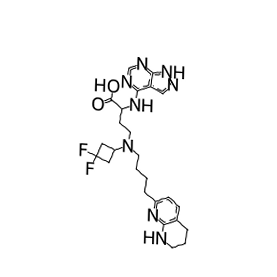 O=C(O)C(CCN(CCCCc1ccc2c(n1)NCCC2)C1CC(F)(F)C1)Nc1ncnc2[nH]ncc12